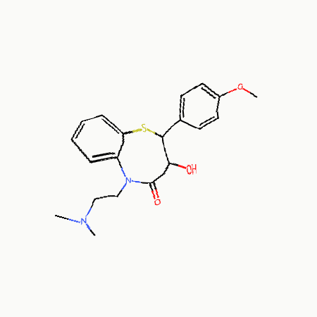 COc1ccc(C2Sc3ccccc3N(CCN(C)C)C(=O)C2O)cc1